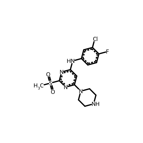 CS(=O)(=O)c1nc(Nc2ccc(F)c(Cl)c2)cc(N2CCNCC2)n1